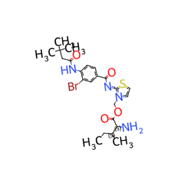 CC[C@H](C)[C@H](N)C(=O)OCn1ccsc1=NC(=O)c1ccc(NC(=O)CC(C)(C)C)c(Br)c1